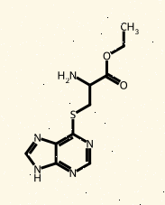 CCOC(=O)C(N)CSc1ncnc2[nH]cnc12